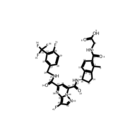 Cc1c(C(=O)NCC(=O)O)ccc2c1CC[C@@H]2NC(=O)c1cc(C(=O)NCc2ccc(F)c(C(F)(F)F)c2)nc2c(F)cnn12